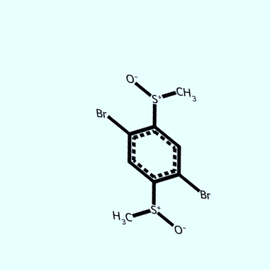 C[S+]([O-])c1cc(Br)c([S+](C)[O-])cc1Br